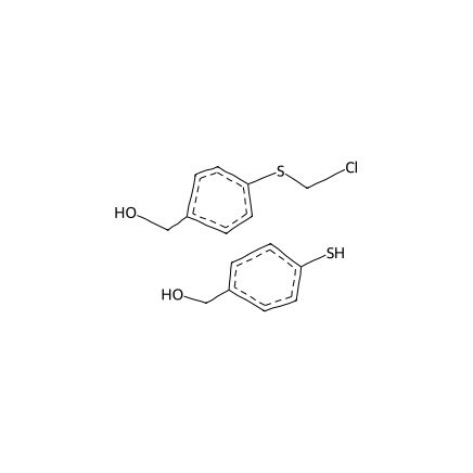 OCc1ccc(S)cc1.OCc1ccc(SCCl)cc1